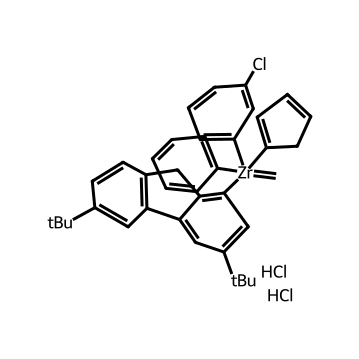 Cl.Cl.[CH2]=[Zr]([C]1=CC=CC1)([c]1ccccc1)([c]1cccc(Cl)c1)[c]1cc(C(C)(C)C)cc2c1Cc1ccc(C(C)(C)C)cc1-2